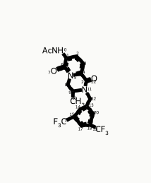 CC(=O)Nc1ccc2n(c1=O)CC(C)N(Cc1cc(C(F)(F)F)cc(C(F)(F)F)c1)C2=O